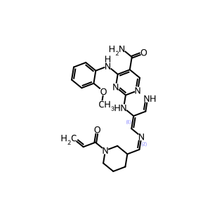 C=CC(=O)N1CCCC(/C=N\C=C(/C=N)Nc2ncc(C(N)=O)c(Nc3ccccc3OC)n2)C1